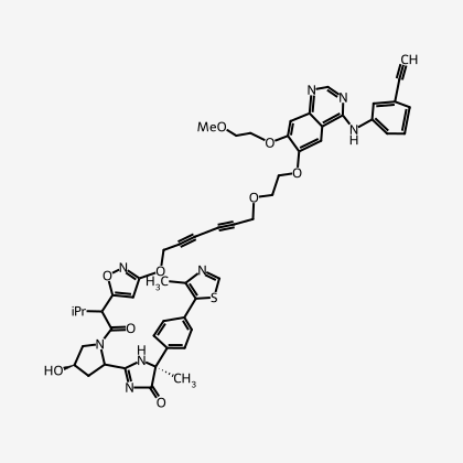 C#Cc1cccc(Nc2ncnc3cc(OCCOC)c(OCCOCC#CC#CCOc4cc(C(C(=O)N5C[C@H](O)CC5C5=NC(=O)[C@](C)(c6ccc(-c7scnc7C)cc6)N5)C(C)C)on4)cc23)c1